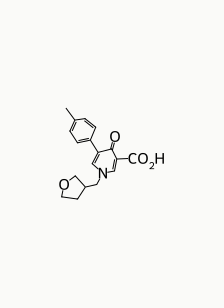 Cc1ccc(-c2cn(CC3CCOC3)cc(C(=O)O)c2=O)cc1